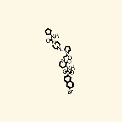 O=C(NC1CCCC1)N1CCN(C[C@@H]2CCCN2C(=O)CN2CCC[C@H](NS(=O)(=O)c3ccc4cc(Br)ccc4c3)C2=O)CC1